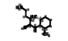 C[C@@H]1CCC[C@@H](C)C1NC(=O)SCCN